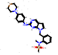 CN(c1ccccc1Cn1ccc2cnc(Nc3ccc(N4CCSCC4)cc3)nc21)S(C)(=O)=O